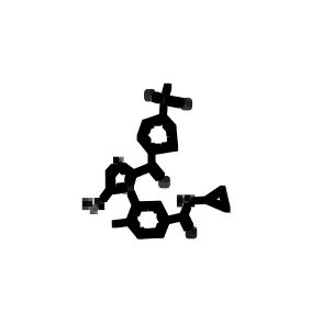 Cc1ccc(C(=O)NC2CC2)cc1-n1c(N)cnc1C(=O)c1ccc(S(C)(=O)=O)cc1